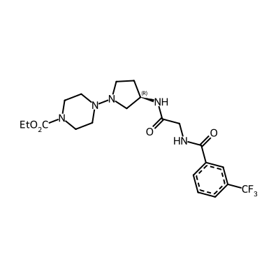 CCOC(=O)N1CCN(N2CC[C@@H](NC(=O)CNC(=O)c3cccc(C(F)(F)F)c3)C2)CC1